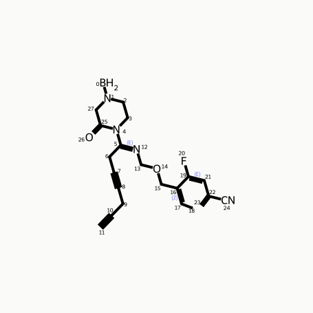 BN1CCN(/C(CC#CCC#C)=N/COCC(=C/C)/C(F)=C\C(=C)C#N)C(=O)C1